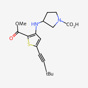 COC(=O)c1sc(C#CC(C)(C)C)cc1NC1CCN(C(=O)O)C1